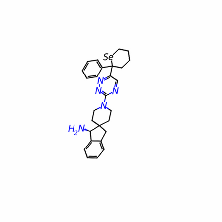 N[C@@H]1c2ccccc2CC12CCN(c1ncc(C3(c4ccccc4)CCCC[Se]3)nn1)CC2